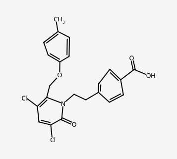 Cc1ccc(OCc2c(Cl)cc(Cl)c(=O)n2CCc2ccc(C(=O)O)cc2)cc1